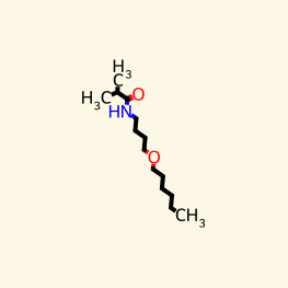 CCCCCCOCCCCNC(=O)C(C)C